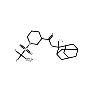 CC1(OC(=O)C2CCCN(S(=O)(=O)C(F)(F)S(=O)(=O)O)C2)C2CC3CC(C2)CC1C3